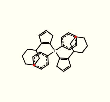 C1=CC(C2CCCCC2)=[C]([Ti]([C]2=C(C3CCCCC3)C=CC2)([c]2ccccc2)[c]2ccccc2)C1